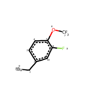 CC(C)(C)Cc1ccc(OC(F)(F)F)c(F)c1